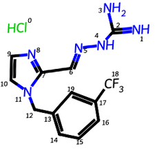 Cl.N=C(N)NN=Cc1nccn1Cc1cccc(C(F)(F)F)c1